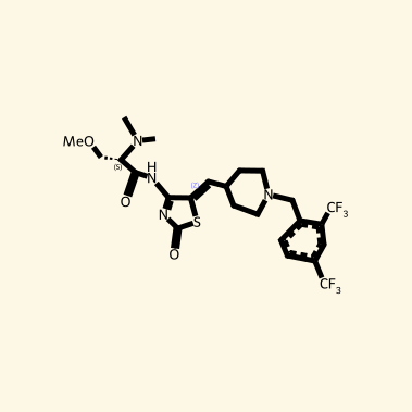 COC[C@@H](C(=O)NC1=NC(=O)S/C1=C\C1CCN(Cc2ccc(C(F)(F)F)cc2C(F)(F)F)CC1)N(C)C